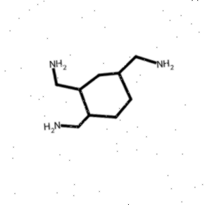 NCC1CCC(CN)C(CN)C1